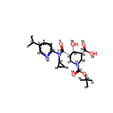 CC(C)c1ccc(N(C(=O)[C@H]2CN(C(=O)OC(C)(C)C)C[C@@H](C(=O)O)[C@H]2O)C2CC2)nc1